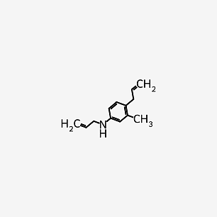 C=CCNc1ccc(CC=C)c(C)c1